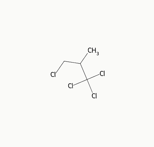 CC(CCl)C(Cl)(Cl)Cl